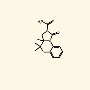 CC1(C)Sc2ccccc2N2C(=O)N(C(N)=O)CC21C